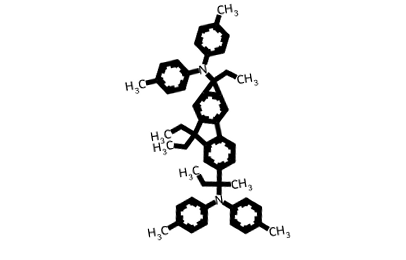 CCC1(CC)c2cc(C(C)(CC)N(c3ccc(C)cc3)c3ccc(C)cc3)ccc2-c2cc3c(cc21)C3(CC)N(c1ccc(C)cc1)c1ccc(C)cc1